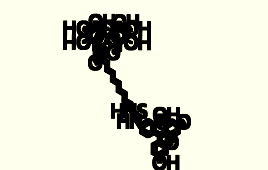 O=C(CCCCCCCCCNC(=S)Nc1ccc(-c2c3ccc(=O)cc-3oc3cc(O)ccc23)c(C(=O)O)c1)OCC1O[C@H](O[C@H]2OC(CO)[C@@H](O)C(O)C2O)C(O)C(O)[C@@H]1O